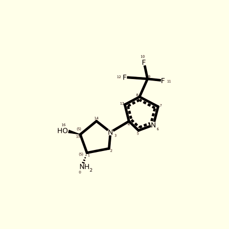 N[C@H]1CN(c2cncc(C(F)(F)F)c2)C[C@@H]1O